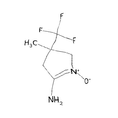 CC1(C(F)(F)F)CC(N)=[N+]([O-])C1